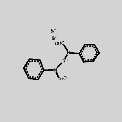 O=C[N]([Ti+2][N](C=O)c1ccccc1)c1ccccc1.[Br-].[Br-]